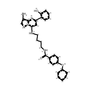 Bc1cnn2c(NCCCCNC(=O)c3ccc(Oc4ccccc4)cc3)cc(-c3ccccc3O)nc12